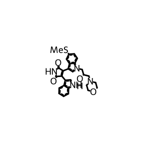 CSc1ccc2c(c1)c(C1=C(c3c[nH]c4ccccc34)C(=O)NC1=O)cn2CC(O)CN1CCOCC1